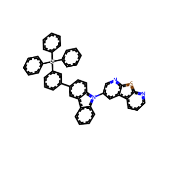 c1ccc([Si](c2ccccc2)(c2ccccc2)c2cccc(-c3ccc4c(c3)c3ccccc3n4-c3cnc4sc5ncccc5c4c3)c2)cc1